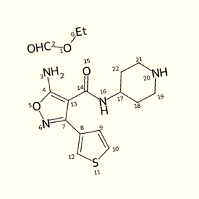 CCOC=O.Nc1onc(-c2ccsc2)c1C(=O)NC1CCNCC1